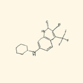 O=c1[nH]c2cc(NC3CCCCC3)ccc2c(C(F)(F)F)c1F